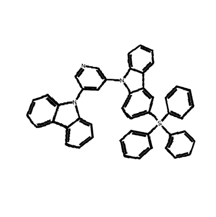 c1ccc([Si](c2ccccc2)(c2ccccc2)c2ccc3c(c2)c2ccccc2n3-c2cncc(-n3c4ccccc4c4ccccc43)c2)cc1